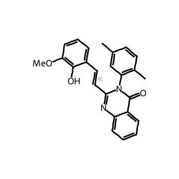 COc1cccc(/C=C/c2nc3ccccc3c(=O)n2-c2cc(C)ccc2C)c1O